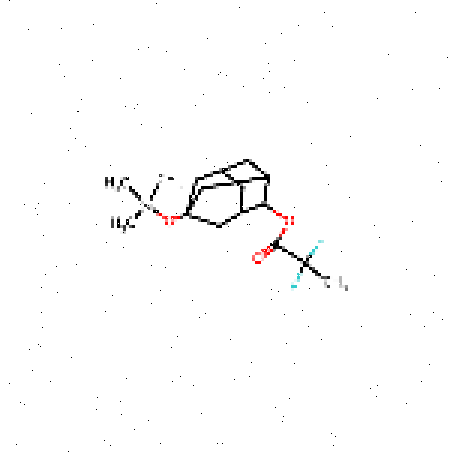 CC(F)(F)C(=O)OC1C2CC3CC1CC(O[Si](C)(C)C)(C3)C2